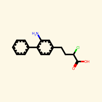 Nc1cc(CCC(Cl)C(=O)O)ccc1-c1ccccc1